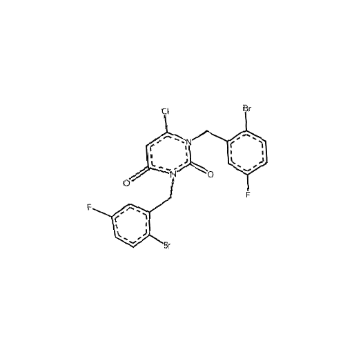 O=c1cc(Cl)n(Cc2cc(F)ccc2Br)c(=O)n1Cc1cc(F)ccc1Br